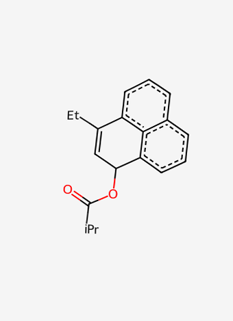 CCC1=CC(OC(=O)C(C)C)c2cccc3cccc1c23